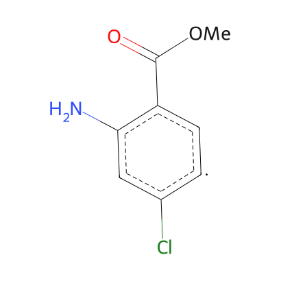 COC(=O)c1c[c]c(Cl)cc1N